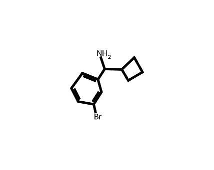 NC(c1cccc(Br)c1)C1CCC1